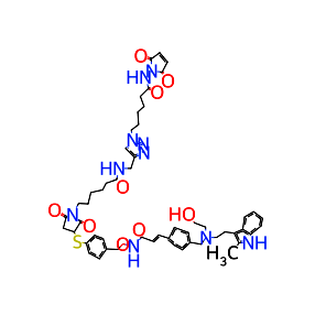 Cc1[nH]c2ccccc2c1CCN(CCO)Cc1ccc(/C=C/C(=O)NOCc2ccc(SC3CC(=O)N(CCCCCC(=O)NCc4cn(CCCCCC(=O)NN5C(=O)C=CC5=O)nn4)C3=O)cc2)cc1